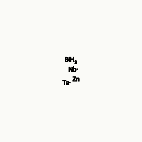 [BiH3].[Nb].[Ta].[Zn]